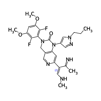 CCCn1cc(N2C(=O)N(c3c(F)c(OC)cc(OC)c3F)Cc3cnc(/C(=C/NC)C(C)=N)cc32)cn1